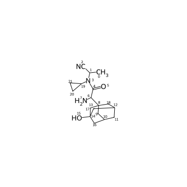 CC(C#N)N(C(=O)C(N)C12CC3CC(CC(O)(C3)C1)C2)C1CC1